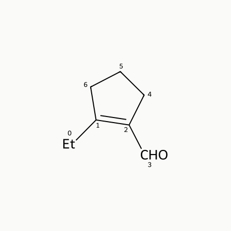 CCC1=C(C=O)CCC1